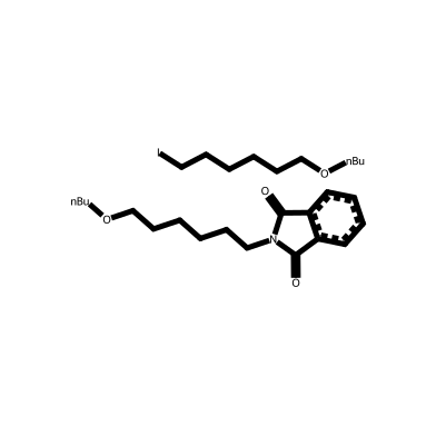 CCCCOCCCCCCI.CCCCOCCCCCCN1C(=O)c2ccccc2C1=O